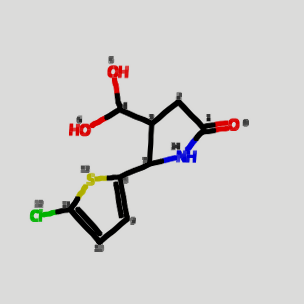 O=C1CC(C(O)O)C(c2ccc(Cl)s2)N1